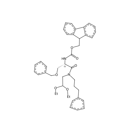 CCOC(CN(CCCc1ccccc1)C(=O)[C@H](COCc1ccccc1)NC(=O)OCC1c2ccccc2-c2ccccc21)OCC